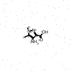 Cc1c(N)c(C(=O)O)nn1C